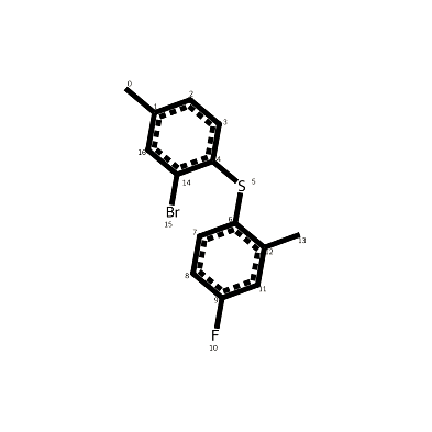 Cc1ccc(Sc2ccc(F)cc2C)c(Br)c1